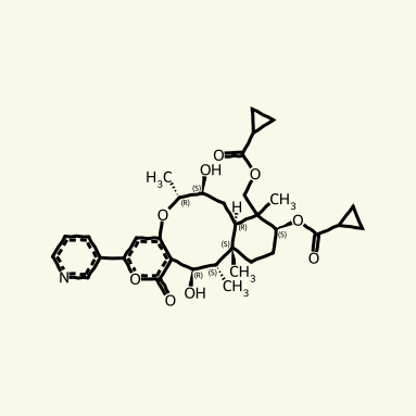 C[C@@H]1[C@@H](O)c2c(cc(-c3cccnc3)oc2=O)O[C@H](C)[C@@H](O)C[C@H]2C(C)(COC(=O)C3CC3)[C@@H](OC(=O)C3CC3)CC[C@]12C